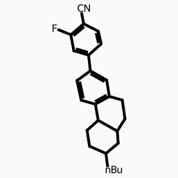 CCCCC1CCC2c3ccc(-c4ccc(C#N)c(F)c4)cc3CCC2C1